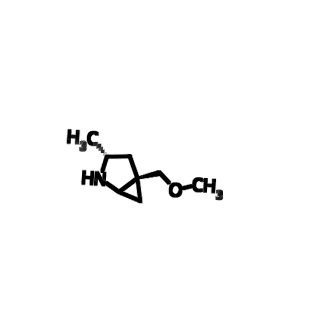 COC[C@@]12CC1N[C@H](C)C2